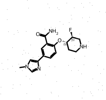 Cn1cnc(-c2ccc(O[C@H]3CCNC[C@@H]3F)c(C(N)=O)c2)c1